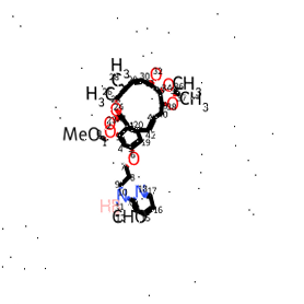 COCOc1cc(OCCCN(BC=O)c2ccccn2)cc2c1C(=O)OC(C)[C@H](C)/C=C\C(=O)C1OC(C)(C)OC1C/C=C/2